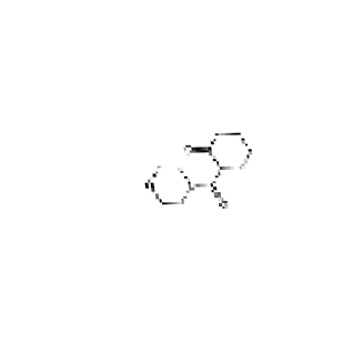 O=C1CCCCC1C(=O)N1CCOCC1